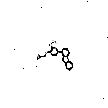 COc1cc(-c2cccc3c2Cc2ccccc2-3)ccc1OCC1CO1